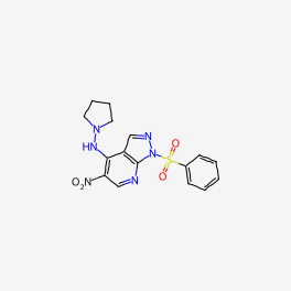 O=[N+]([O-])c1cnc2c(cnn2S(=O)(=O)c2ccccc2)c1NN1CCCC1